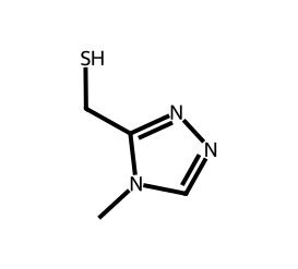 Cn1cnnc1CS